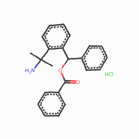 CC(C)(N)c1ccccc1C(OC(=O)c1ccccc1)c1ccccc1.Cl